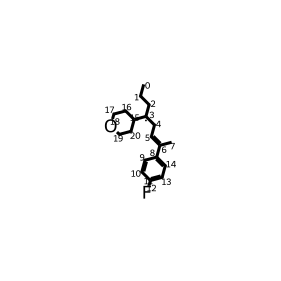 CCC[C](CC=C(C)c1ccc(F)cc1)C1CCOCC1